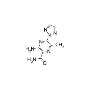 Cc1nc(C(N)=O)c(N)nc1-n1nccn1